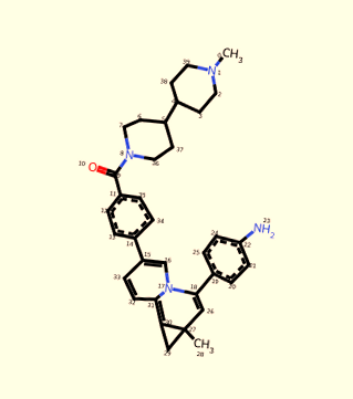 CN1CCC(C2CCN(C(=O)c3ccc(C4=CN5C(c6ccc(N)cc6)=CC6(C)CC6=C5C=C4)cc3)CC2)CC1